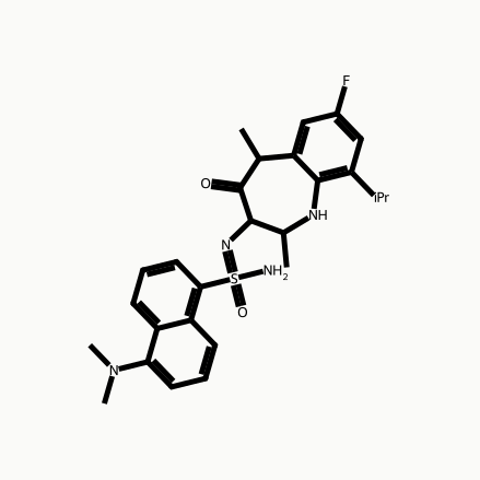 CC(C)c1cc(F)cc2c1NC(C)C(N=S(N)(=O)c1cccc3c(N(C)C)cccc13)C(=O)C2C